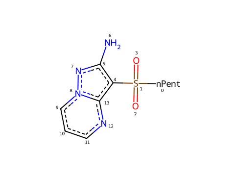 CCCCCS(=O)(=O)c1c(N)nn2cccnc12